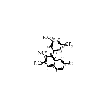 CCc1ccc2cc(C#N)c(C#N)c(-c3cc(C(F)(F)F)cc(C(F)(F)F)c3)c2c1